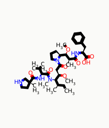 CC[C@H](C)[C@@H]([C@@H](CC(=O)N1CCC[C@H]1[C@H](OC)[C@@H](C)C(=O)N[C@@H](Cc1ccccc1)C(=O)O)OC)N(C)C(=O)[C@@H](NC(=O)[C@@]1(C)CCNC1)C(C)C